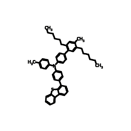 CCCCCCc1cc(-c2ccc(N(c3ccc(C)cc3)c3ccc(-c4cccc5c4sc4ccccc45)cc3)cc2)c(CCCCCC)cc1C